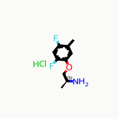 Cc1cc(OC[C@H](C)N)c(F)cc1F.Cl